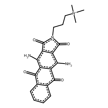 C[N+](C)(C)CCCn1c(=O)c2c(N)c3c(=O)c4ccccc4c(=O)c3c(N)c2c1=O